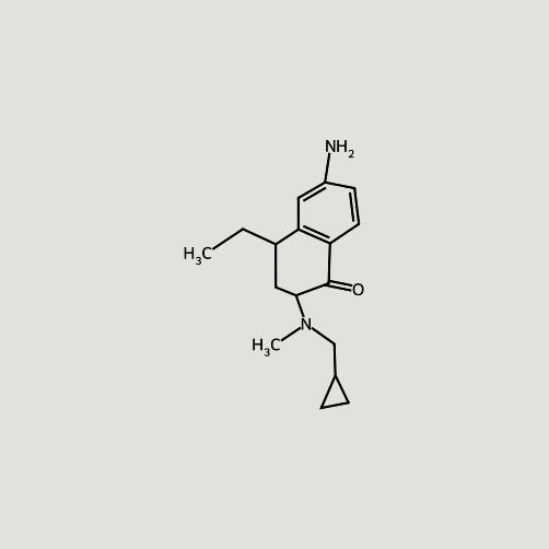 CCC1CC(N(C)CC2CC2)C(=O)c2ccc(N)cc21